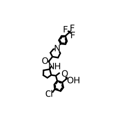 CC(c1cc(Cl)ccc1C(=O)O)C1CCCC1NC(=O)C1CCN(c2ccc(C(F)(F)F)cc2)CC1